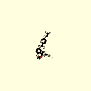 CC1(C)Oc2ccc(NC(=O)c3ccc(OCC(F)F)cn3)cc2C2(COC(N)=N2)C12COC2